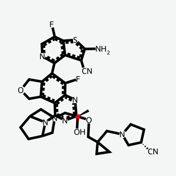 C[C@@H](O)CN1CC2CCC(C1)N2c1nc(OCC2(CN3CC[C@H](C#N)C3)CC2)nc2c(F)c(-c3ncc(F)c4sc(N)c(C#N)c34)c3c(c12)COC3